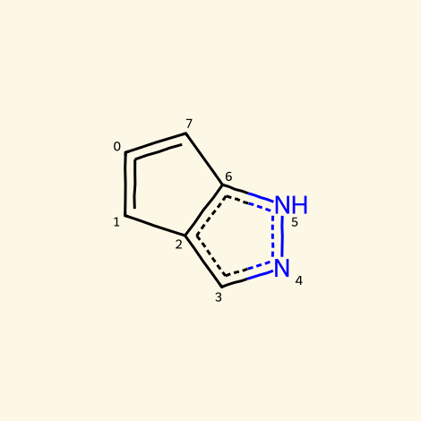 C1=Cc2cn[nH]c2C=1